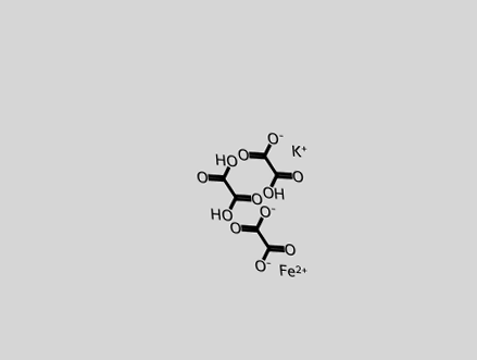 O=C(O)C(=O)O.O=C([O-])C(=O)O.O=C([O-])C(=O)[O-].[Fe+2].[K+]